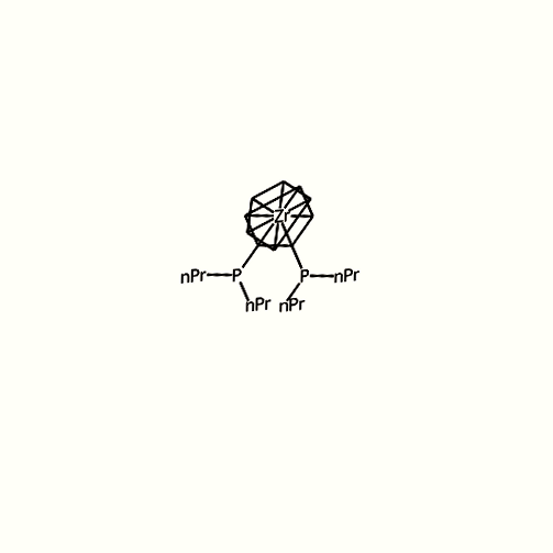 CCCP(CCC)[C]12[CH]3[CH]4[CH]5[C]1(P(CCC)CCC)[Zr]43521678[CH]2[CH]1[CH]6[CH]7[CH]28